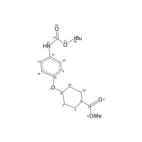 COC(=O)C1CCC(Oc2ccc(NC(=O)OC(C)(C)C)cc2)CC1